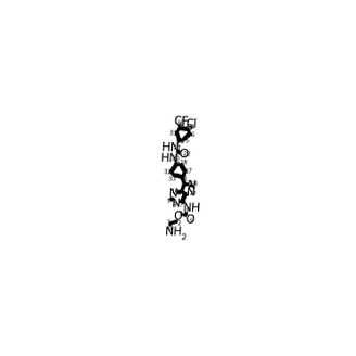 NCCOC(=O)Nc1ncnc2c1N=NC2c1ccc(NC(=O)Nc2ccc(Cl)c(C(F)(F)F)c2)cc1